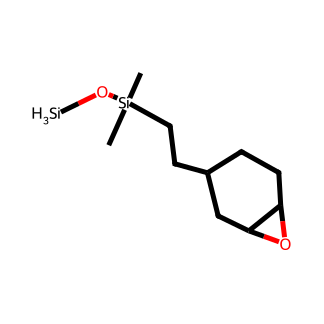 C[Si](C)(CCC1CCC2OC2C1)O[SiH3]